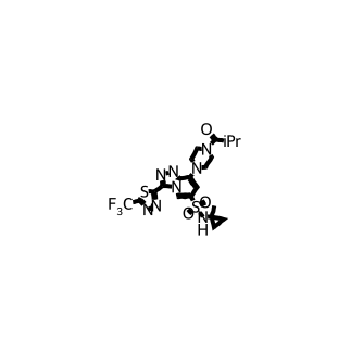 CC(C)C(=O)N1CCN(c2cc(S(=O)(=O)NC3(C)CC3)cn3c(-c4nnc(C(F)(F)F)s4)nnc23)CC1